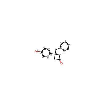 O=C1CC(Cc2ccccc2)(c2ccc(Br)cc2)C1